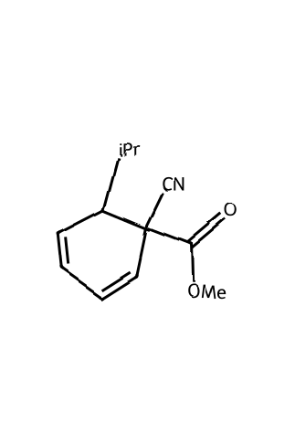 COC(=O)C1(C#N)C=CC=CC1C(C)C